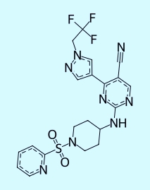 N#Cc1cnc(NC2CCN(S(=O)(=O)c3ccccn3)CC2)nc1-c1cnn(CC(F)(F)F)c1